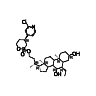 CC[C@@H]1C2C[C@H](O)CC[C@]2(C)C2CC[C@@]3(C)C(CC[C@@H]3[C@H](C)CCO[P@]3(=O)C[C@H](c4ccnc(Cl)c4)CCO3)C2[C@@H]1O